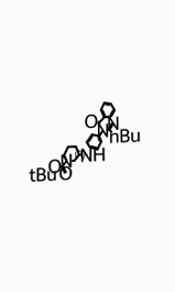 CCCCc1nc2ccccc2c(=O)n1-c1ccc(N[C@@H]2CCCN(C(=O)OC(C)(C)C)C2)cc1